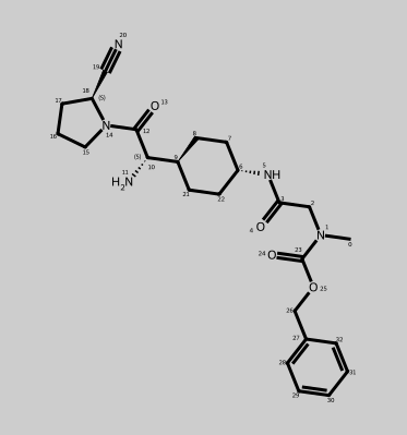 CN(CC(=O)N[C@H]1CC[C@H]([C@H](N)C(=O)N2CCC[C@H]2C#N)CC1)C(=O)OCc1ccccc1